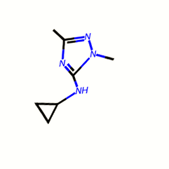 Cc1nc(NC2CC2)n(C)n1